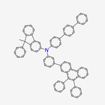 CC1(c2ccccc2)c2ccccc2-c2cc(N(c3ccc(-c4ccc(-c5ccccc5)cc4)cc3)c3cccc(-c4ccc5c(c4)c(-c4ccccc4)c(-c4ccccc4)c4ccccc45)c3)ccc21